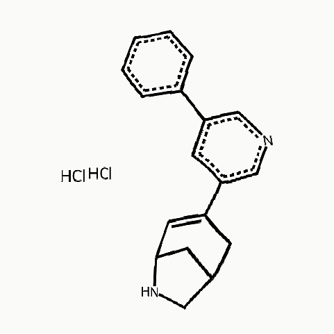 C1=C(c2cncc(-c3ccccc3)c2)CC2CNC1C2.Cl.Cl